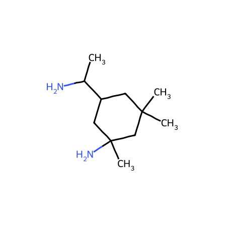 CC(N)C1CC(C)(C)CC(C)(N)C1